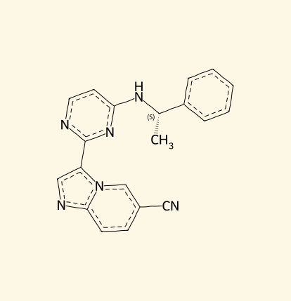 C[C@H](Nc1ccnc(-c2cnc3ccc(C#N)cn23)n1)c1ccccc1